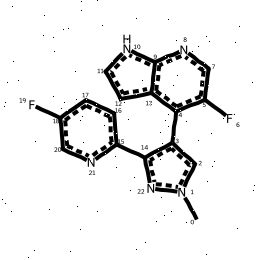 Cn1cc(-c2c(F)cnc3[nH]ccc23)c(-c2ccc(F)cn2)n1